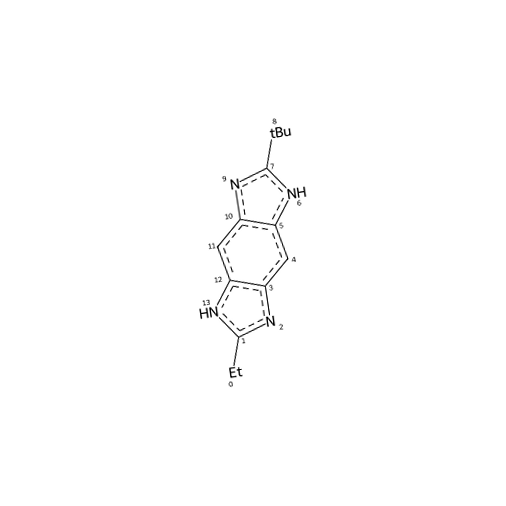 CCc1nc2cc3[nH]c(C(C)(C)C)nc3cc2[nH]1